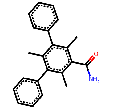 Cc1c(C(N)=O)c(C)c(-c2ccccc2)c(C)c1-c1ccccc1